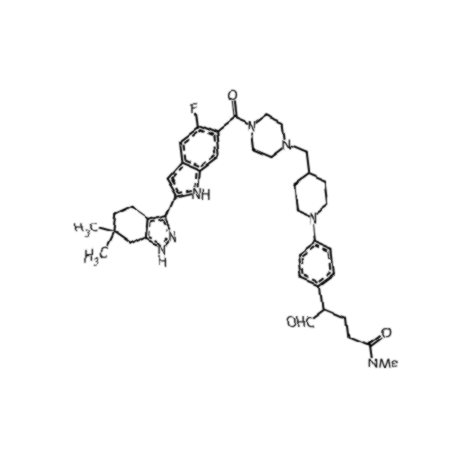 CNC(=O)CCC(C=O)c1ccc(N2CCC(CN3CCN(C(=O)c4cc5[nH]c(-c6n[nH]c7c6CCC(C)(C)C7)cc5cc4F)CC3)CC2)cc1